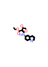 CCOC(=O)C1=C(Nc2ccc3ncccc3c2)OCC1=O